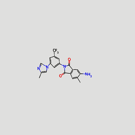 Cc1cn(-c2cc(N3C(=O)c4cc(C)c(N)cc4C3=O)cc(C(F)(F)F)c2)cn1